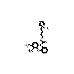 Cc1cccc(Oc2ccccc2OC(=S)OCCCC[N+]2(C)C=CN=C2)c1C